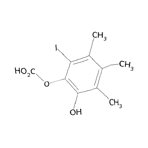 Cc1c(C)c(O)c(OC(=O)O)c(I)c1C